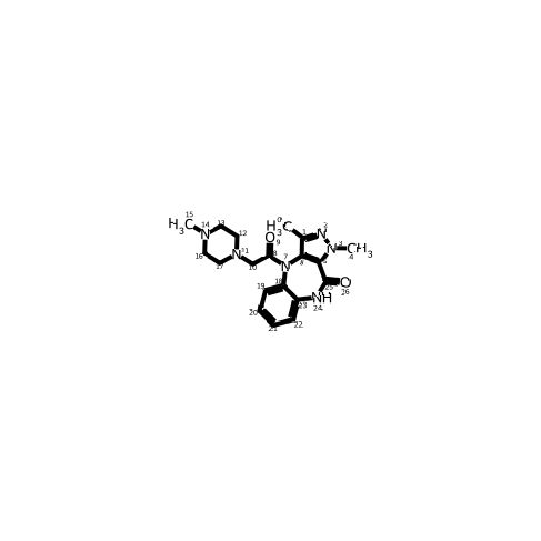 Cc1nn(C)c2c1N(C(=O)CN1CCN(C)CC1)c1ccccc1NC2=O